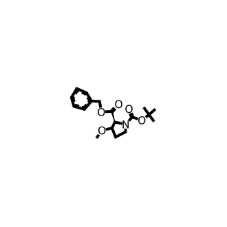 COC1CCN(C(=O)OC(C)(C)C)[C@@H]1C(=O)OCc1ccccc1